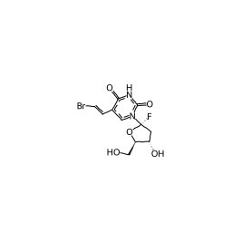 O=c1[nH]c(=O)n([C@@]2(F)C[C@H](O)[C@@H](CO)O2)cc1C=CBr